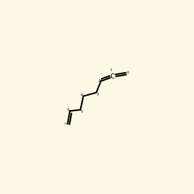 C=C=CCCCC=C